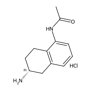 CC(=O)Nc1cccc2c1CC[C@@H](N)C2.Cl